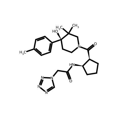 Cc1ccc([C@@]2(O)CCN(C(=O)[C@H]3CCC[C@H]3NC(=O)Cn3cnnn3)CC2(C)C)cc1